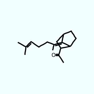 CC(=O)C1CC2CCC1/C2=C(\C)CCC=C(C)C